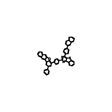 c1ccc(-c2cc(-c3ccc(-c4nc(-c5ccc(-c6ccc7ccccc7c6)cc5)c5sc6ccccc6c5n4)cc3)c3oc4cc5ccccc5cc4c3c2)cc1